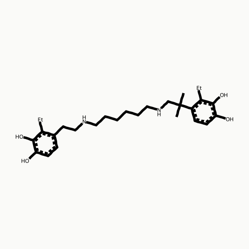 CCc1c(CCNCCCCCCNCC(C)(C)c2ccc(O)c(O)c2CC)ccc(O)c1O